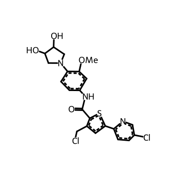 COc1cc(NC(=O)c2sc(-c3ccc(Cl)cn3)cc2CCl)ccc1N1CC(O)C(O)C1